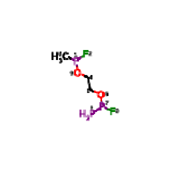 CP(F)OCCOP(F)P